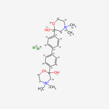 C[N+]1(C)CCOC(O)(c2ccc(-c3ccc(C4(O)C[N+](C)(C)CCO4)cc3)cc2)C1.[Br-].[Br-]